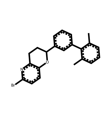 Cc1cccc(C)c1-c1cccc(C2CCc3nc(Br)ccc3O2)c1